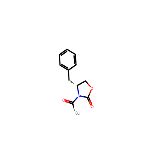 CC[C@H](C)C(=O)N1C(=O)OC[C@H]1Cc1ccccc1